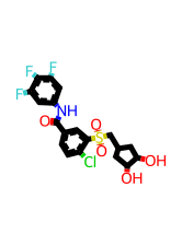 O=C(Nc1cc(F)c(F)c(F)c1)c1ccc(Cl)c(S(=O)(=O)CC2CC(O)C(O)C2)c1